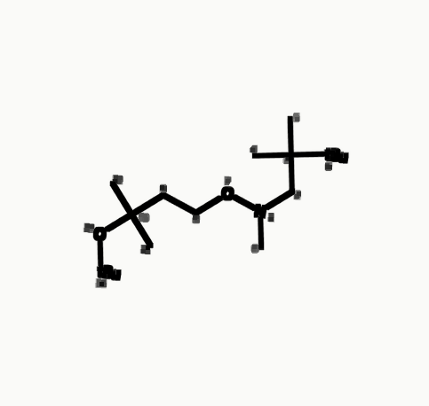 CN(CC(C)(C)C(C)(C)C)OCCC(C)(C)OC(C)(C)C